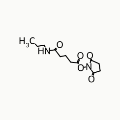 CCCNC(=O)CCCC(=O)ON1C(=O)CCC1=O